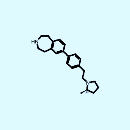 C[C@@H]1CCCN1CCc1ccc(-c2ccc3c(c2)CCNCC3)cc1